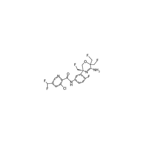 NC1=N[C@](CF)(c2cc(NC(=O)c3ncc(C(F)F)cc3Cl)ccc2F)COC1(CF)CF